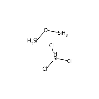 Cl[SiH](Cl)Cl.[SiH3]O[SiH3]